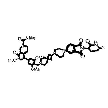 CNC(=O)N1CCc2c(-c3cc(OC)c(CN4CCC5(CC4)CC(N4CCN(c6ccc7c(c6)C(=O)N(C6CCC(=O)NC6=O)C7=O)CC4)C5)c(OC)c3)cn(C)c(=O)c2C1